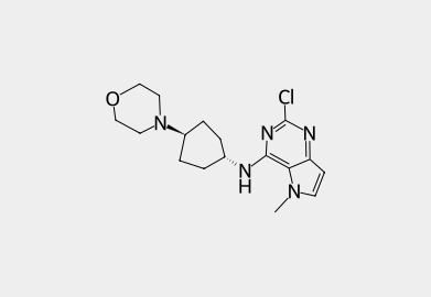 Cn1ccc2nc(Cl)nc(N[C@H]3CC[C@H](N4CCOCC4)CC3)c21